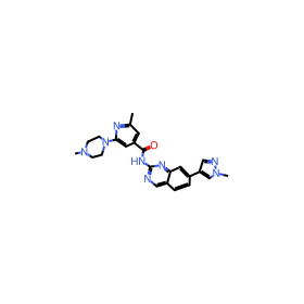 Cc1cc(C(=O)Nc2ncc3ccc(-c4cnn(C)c4)cc3n2)cc(N2CCN(C)CC2)n1